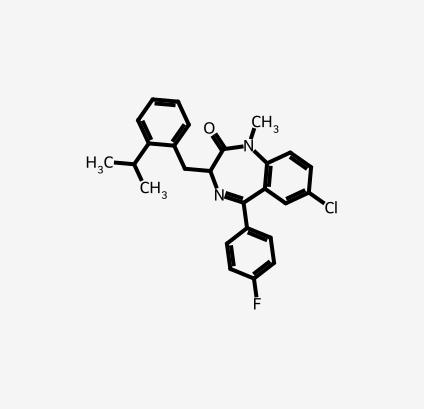 CC(C)c1ccccc1CC1N=C(c2ccc(F)cc2)c2cc(Cl)ccc2N(C)C1=O